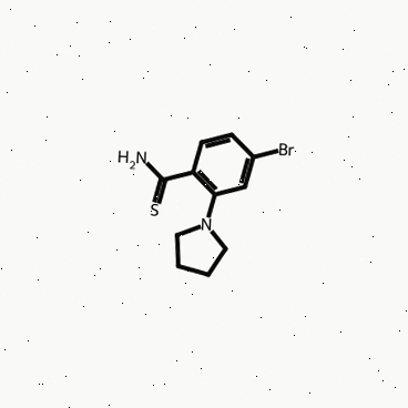 NC(=S)c1ccc(Br)cc1N1CCCC1